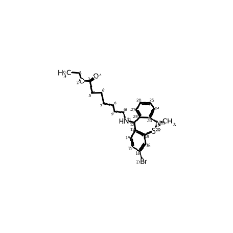 CCOC(=O)CCCCCCNC1c2ccc(Br)cc2SN(C)c2ccccc21